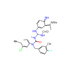 C#CC/C(Cl)=C\C(=C/C)N(Cc1ccc(F)c(C#N)c1)C(=O)N(C)C(NC=O)NC1=C/C(=C(\C)NC)C(=N)C=C1